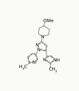 COC1CCN(c2cc(-c3c[nH]c(C)n3)n(-c3ccc(C)nc3)n2)CC1